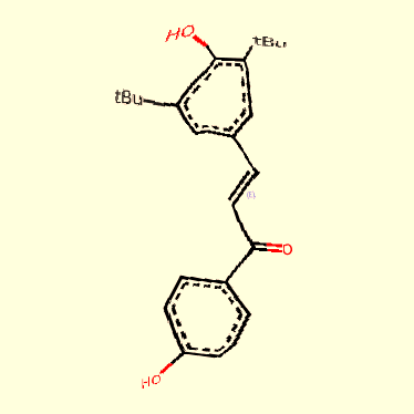 CC(C)(C)c1cc(/C=C/C(=O)c2ccc(O)cc2)cc(C(C)(C)C)c1O